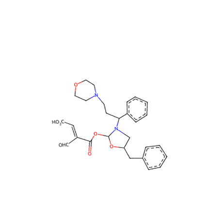 O=C/C(=C\C(=O)O)C(=O)OC1OC(Cc2ccccc2)CN1C(CCN1CCOCC1)c1ccccc1